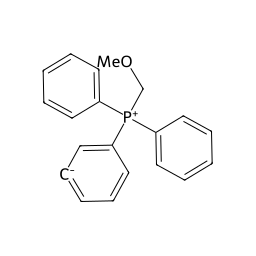 COC[P+](c1c[c-]ccc1)(c1ccccc1)c1ccccc1